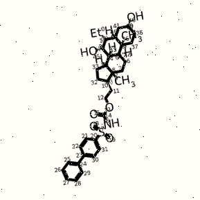 CC[C@H]1[C@@H](O)[C@@H]2[C@H](CC[C@]3(C)[C@@H](CCOC(=O)NS(=O)(=O)c4ccc(-c5ccccc5)cc4)CC[C@@H]23)[C@@]2(C)CC[C@@H](O)C[C@@H]12